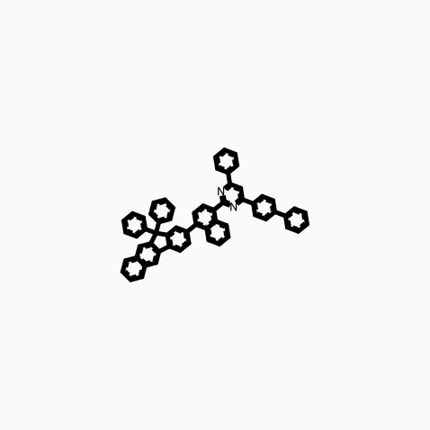 c1ccc(-c2ccc(-c3cc(-c4ccccc4)nc(-c4ccc(-c5ccc6c(c5)C(c5ccccc5)(c5ccccc5)c5cc7ccccc7cc5-6)c5ccccc45)n3)cc2)cc1